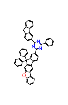 c1ccc(-c2nc(-c3ccc4c(c3)-c3ccccc3C4)nc(-c3ccc4c(c3)C(c3ccccc3)(c3ccccc3)c3cc5oc6ccccc6c5cc3-4)n2)cc1